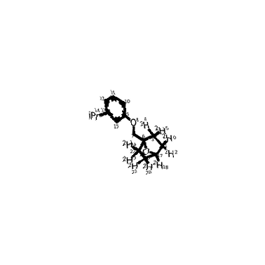 [2H]C1([2H])C([2H])([2H])C2(COc3cccc(C(C)C)c3)OC1([2H])C([2H])([2H])C2([2H])[2H]